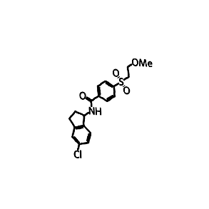 COCCS(=O)(=O)c1ccc(C(=O)NC2CCc3cc(Cl)ccc32)cc1